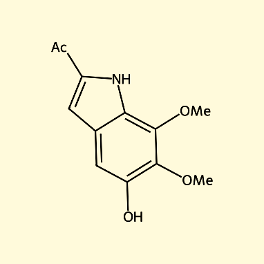 COc1c(O)cc2cc(C(C)=O)[nH]c2c1OC